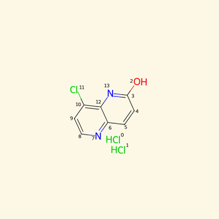 Cl.Cl.Oc1ccc2nccc(Cl)c2n1